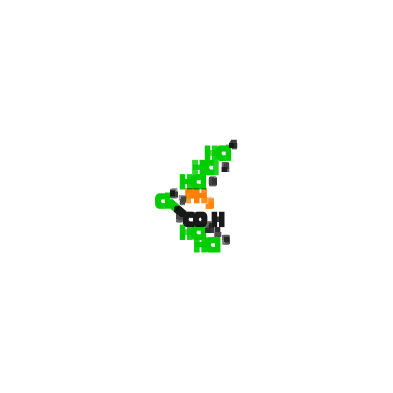 Cl.Cl.Cl.Cl.Cl.O=C(O)Cl.P